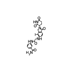 NC(=O)c1cccc(NC(=O)CNc2ccc3c(c2I)CN(C2CCC(=O)NC2=O)C3=O)c1